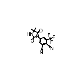 CC1(C)NC(=O)N(c2cc(C#N)c(C#N)c(C(F)(F)F)c2)C1=O